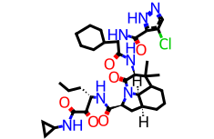 CCC[C@H](NC(=O)[C@@H]1C[C@@H]2CCCC3[C@@H]2N1C(=O)[C@@H](NC(=O)[C@@H](NC(=O)c1[nH]ncc1Cl)C1CCCCC1)C3(C)C)C(=O)C(=O)NC1CC1